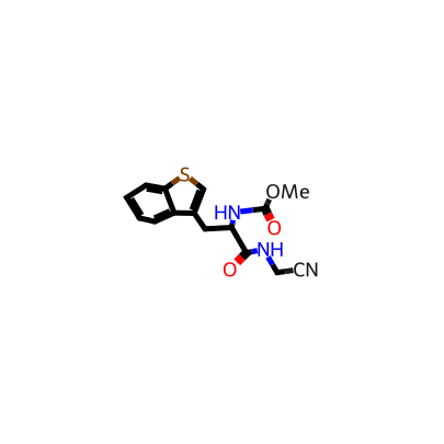 COC(=O)NC(Cc1csc2ccccc12)C(=O)NCC#N